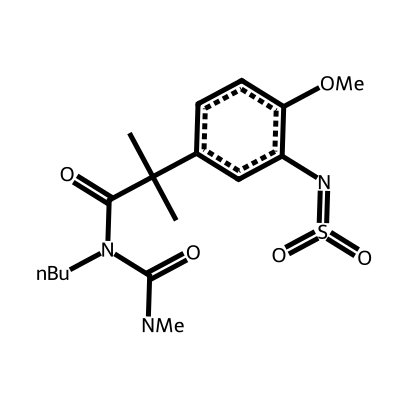 CCCCN(C(=O)NC)C(=O)C(C)(C)c1ccc(OC)c(N=S(=O)=O)c1